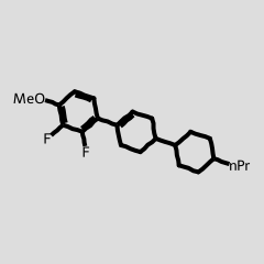 CCCC1CCC(C2CC=C(c3ccc(OC)c(F)c3F)CC2)CC1